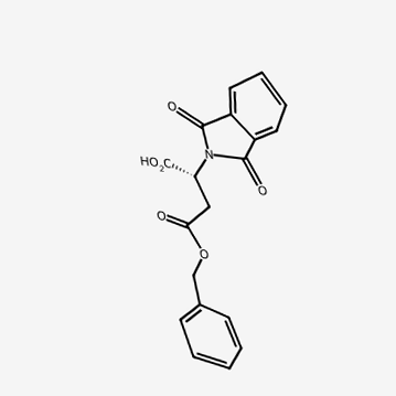 O=C(C[C@H](C(=O)O)N1C(=O)c2ccccc2C1=O)OCc1ccccc1